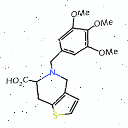 COc1cc(CN2Cc3ccsc3CC2C(=O)O)cc(OC)c1OC